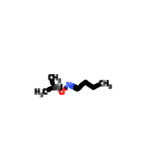 CCCC=NO[SiH](C)C